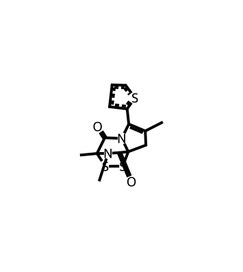 CC1=C(c2cccs2)N2C(=O)C3(C)SSC2(C1)C(=O)N3C